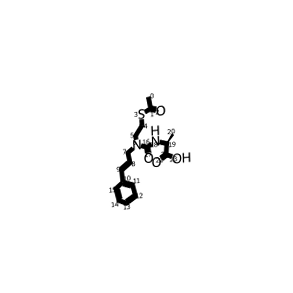 CC(=O)SCCN(CC=Cc1ccccc1)C(=O)N[C@@H](C)C(=O)O